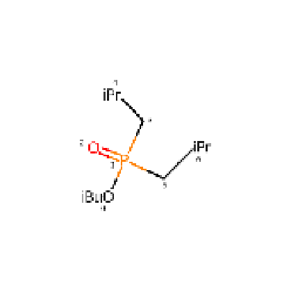 CC(C)COP(=O)(CC(C)C)CC(C)C